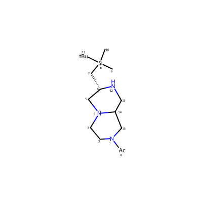 CC(=O)N1CCN2C[C@H](C[Si](C)(C)C(C)(C)C)NCC2C1